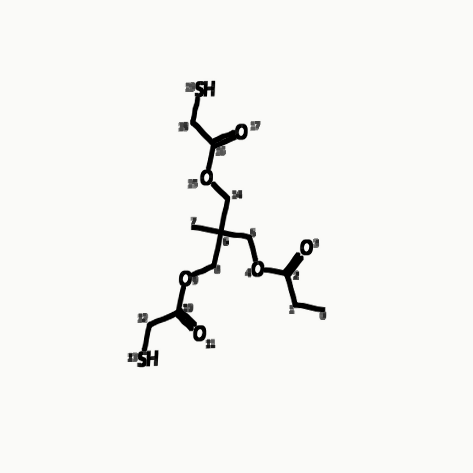 CCC(=O)OCC(C)(COC(=O)CS)COC(=O)CS